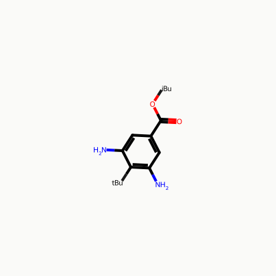 CCC(C)OC(=O)c1cc(N)c(C(C)(C)C)c(N)c1